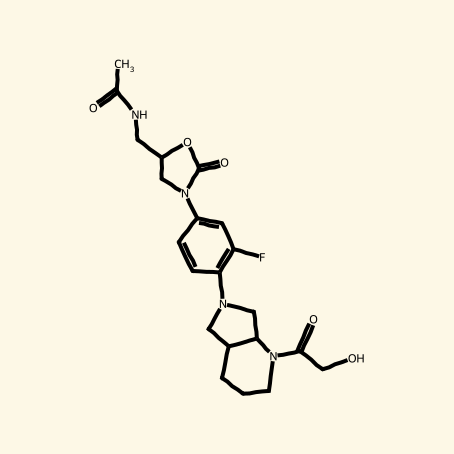 CC(=O)NCC1CN(c2ccc(N3CC4CCCN(C(=O)CO)C4C3)c(F)c2)C(=O)O1